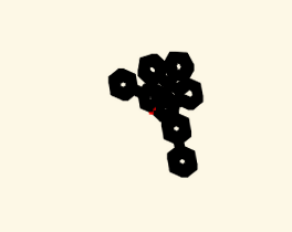 C1=C(N(c2ccc(-c3ccccc3)cc2)c2ccc(-c3ccccc3)cc2)C(C2(c3ccccc3)c3ccccc3Oc3ccccc32)=CCC1